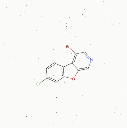 Clc1ccc2c(c1)oc1cncc(Br)c12